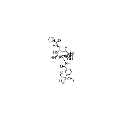 CC1(C)CCOc2c(C(=O)NC3CN4C(=N)N[C@@H](CNC(=O)N5CCCC5)C5NC(=N)N[C@@]54C3(O)O)cccc21